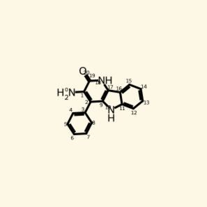 Nc1c(-c2ccccc2)c2[nH]c3ccccc3c2[nH]c1=O